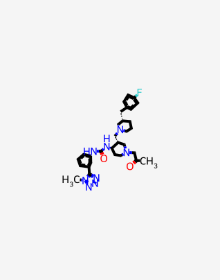 CC(=O)CN1CC[C@@H](NC(=O)Nc2cccc(-c3nnnn3C)c2)[C@H](CN2CCC[C@@H](Cc3ccc(F)cc3)C2)C1